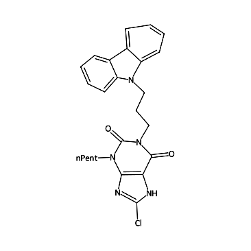 CCCCCn1c(=O)n(CCCn2c3ccccc3c3ccccc32)c(=O)c2[nH]c(Cl)nc21